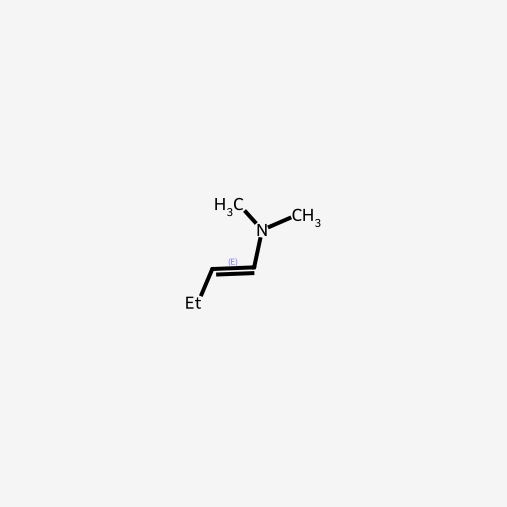 [CH2]C/C=C/N(C)C